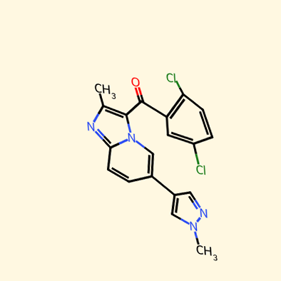 Cc1nc2ccc(-c3cnn(C)c3)cn2c1C(=O)c1cc(Cl)ccc1Cl